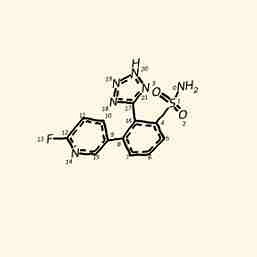 NS(=O)(=O)c1cccc(-c2ccc(F)nc2)c1-c1nn[nH]n1